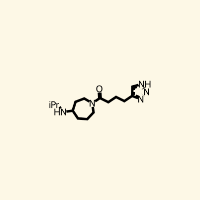 CC(C)NC1CCCN(C(=O)CCCc2c[nH]nn2)CC1